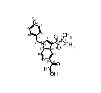 CN(C)S(=O)(=O)c1cn(Cc2ccc(F)cc2)c2cnc(C(=O)NO)cc12